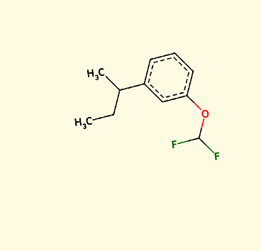 CCC(C)c1cccc(OC(F)F)c1